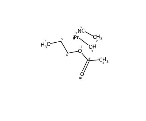 CC#N.CC(C)O.CCCOC(C)=O